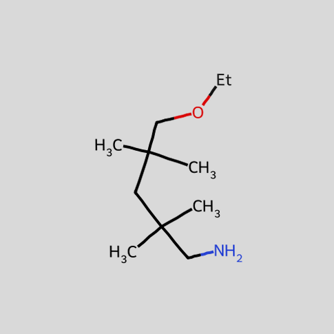 CCOCC(C)(C)CC(C)(C)CN